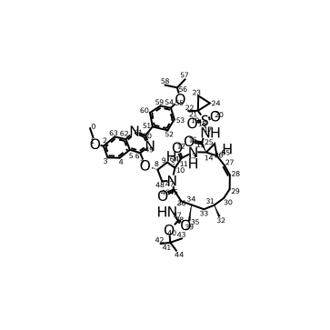 COc1ccc2c(O[C@@H]3C[C@H]4C(=O)N[C@]5(C(=O)NS(=O)(=O)C6(C)CC6)C[C@H]5/C=C\CC[C@@H](C)C[C@@H](C)[C@H](NC(=O)OC(C)(C)C)C(=O)N4C3)nc(-c3ccc(OC(C)C)cc3)nc2c1